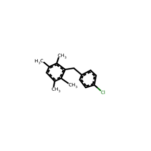 Cc1cc(C)c(C)c(Cc2ccc(Cl)cc2)c1C